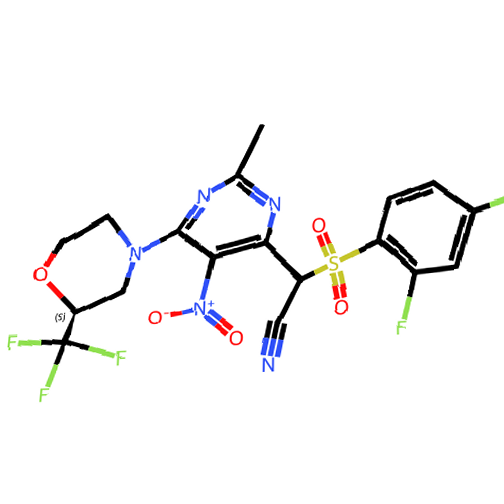 Cc1nc(C(C#N)S(=O)(=O)c2ccc(F)cc2F)c([N+](=O)[O-])c(N2CCO[C@H](C(F)(F)F)C2)n1